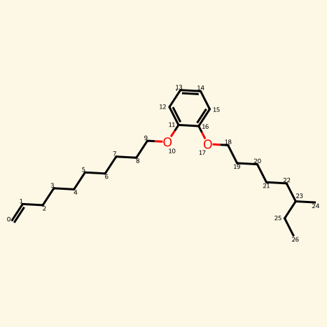 C=CCCCCCCCCOc1c[c]ccc1OCCCCCC(C)CC